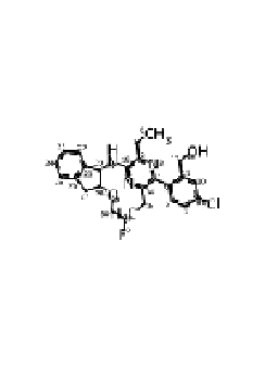 CCc1nc(-c2ccc(Cl)cc2CO)c(CC)nc1N[C@@H]1c2ccccc2C[C@@H]1OCCF